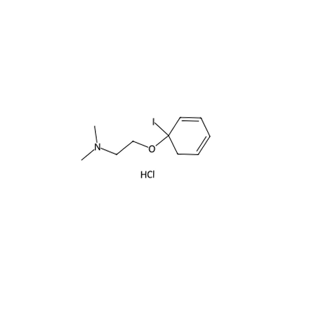 CN(C)CCOC1(I)C=CC=CC1.Cl